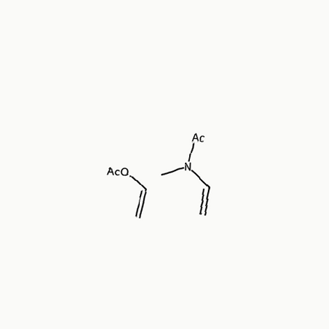 C=CN(C)C(C)=O.C=COC(C)=O